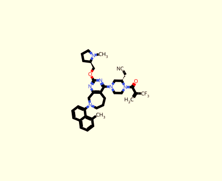 C=C(C(=O)N1CCN(c2nc(OC[C@H]3CCCN3C)nc3c2CCCN(c2cccc4cccc(C)c24)C3)C[C@@H]1CC#N)C(F)(F)F